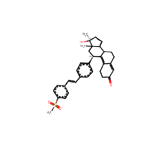 CC12C[C@H](c3ccc(/C=C/c4ccc(S(C)(=O)=O)cc4)cc3)C3=C4CCC(=O)C=C4CCC3C1CC[C@]2(C)O